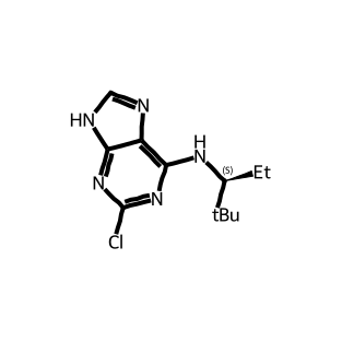 CC[C@H](Nc1nc(Cl)nc2[nH]cnc12)C(C)(C)C